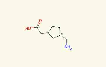 NC[C@H]1CCC(CC(=O)O)C1